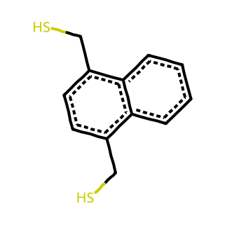 SCc1ccc(CS)c2ccccc12